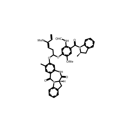 C=C/C(=C\CC(Oc1cc2c(cc1C)C(=O)N1c3ccccc3C[C@H]1C(=O)N2)Oc1cc(NC=O)c(C(=O)N2c3ccccc3C[C@H]2C)cc1OC)NC